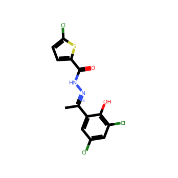 C/C(=N\NC(=O)c1ccc(Cl)s1)c1cc(Cl)cc(Cl)c1O